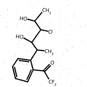 CC(O)C(Cl)C(O)C(C)c1ccccc1C(=O)C(F)(F)F